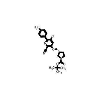 Cc1ccc(-c2nc(C#N)c(OC[C@@H]3CCN(C(=O)OC(C)(C)C)C3)cc2Cl)cc1